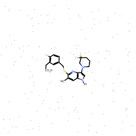 CC(C)n1cc(N2CCCC(F)(F)C2)c2nc(SCc3ccc(F)c(CC(=O)O)c3)c(C#N)cc21